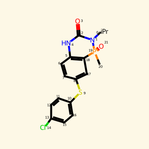 CC(C)N1C(=O)Nc2ccc(Sc3ccc(Cl)cc3)cc2P1(C)=O